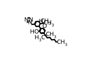 CCCCCCC(C)(C)c1cc(O)c2c(c1)OC(C)(C)[C@H]1CC=C(Cn3cncn3)CC21